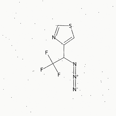 [N-]=[N+]=NC(c1cs[c]n1)C(F)(F)F